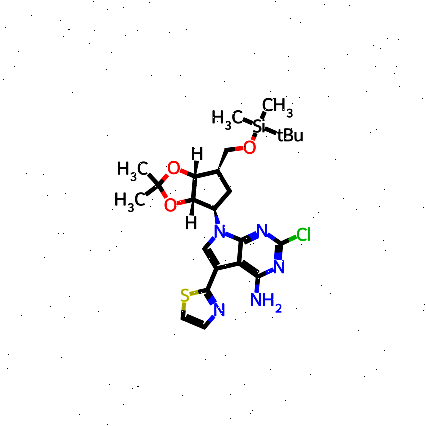 CC1(C)O[C@@H]2[C@@H](CO[Si](C)(C)C(C)(C)C)C[C@@H](n3cc(-c4nccs4)c4c(N)nc(Cl)nc43)[C@@H]2O1